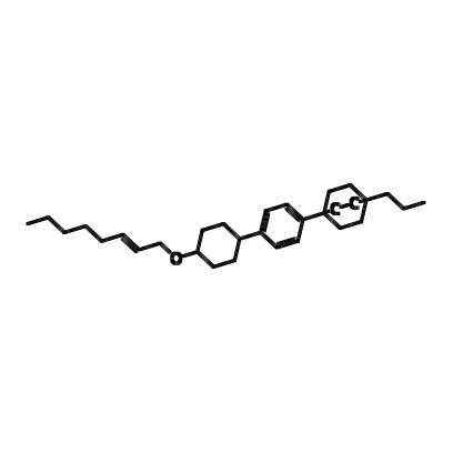 CCCCC/C=C/COC1CCC(c2ccc(C34CCC(CCC)(CC3)CC4)cc2)CC1